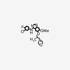 COc1cc2ncnc(Nc3ccc(F)c(Cl)c3)c2cc1OCC(C)CN1CCOCC1